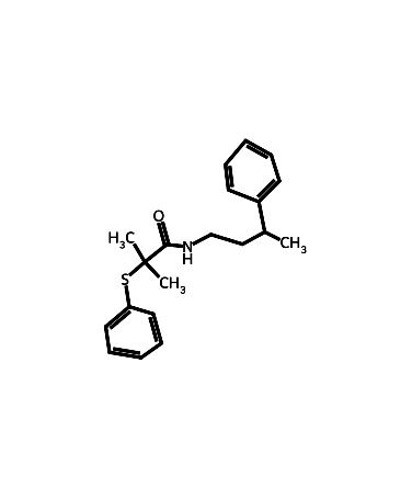 CC(CCNC(=O)C(C)(C)Sc1ccccc1)c1ccccc1